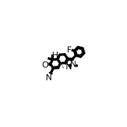 Cn1nc2c(c1-c1ccccc1F)CC[C@H]1C(C)(C)C(=O)C(C#N)=C[C@]21C